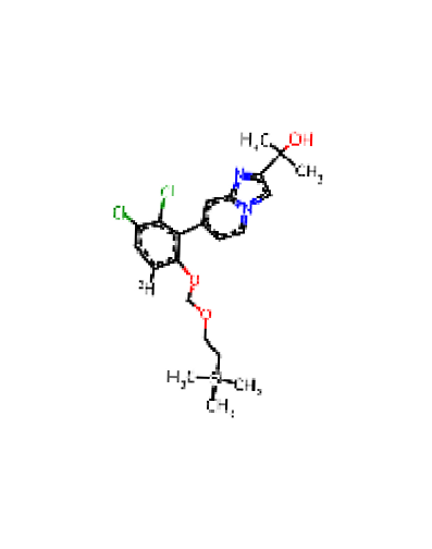 [2H]c1cc(Cl)c(Cl)c(-c2ccn3cc(C(C)(C)O)nc3c2)c1OCOCC[Si](C)(C)C